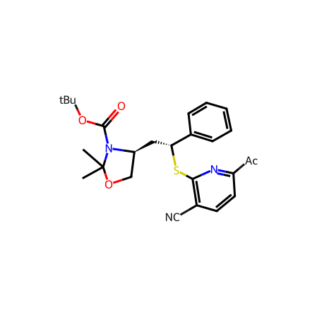 CC(=O)c1ccc(C#N)c(S[C@H](C[C@H]2COC(C)(C)N2C(=O)OC(C)(C)C)c2ccccc2)n1